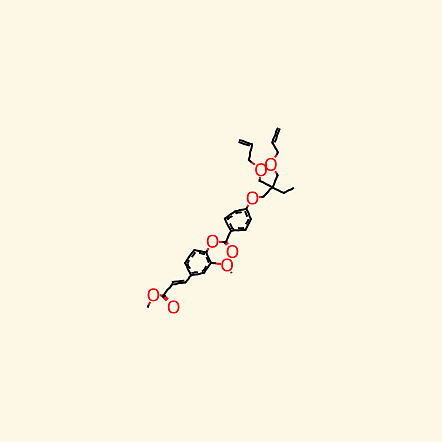 C=CCOCC(CC)(COCC=C)COc1ccc(C(=O)Oc2ccc(/C=C/C(=O)OC)cc2OC)cc1